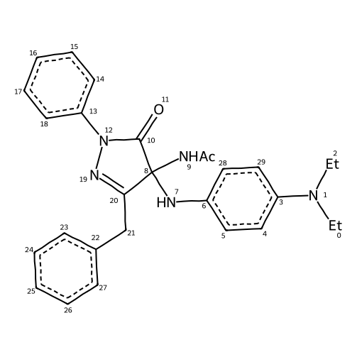 CCN(CC)c1ccc(NC2(NC(C)=O)C(=O)N(c3ccccc3)N=C2Cc2ccccc2)cc1